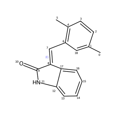 Cc1ccc(C)c(/C=C2/C(=O)Nc3ccccc32)c1